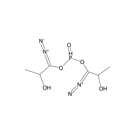 CC(O)C(=[N+]=[N-])O[PH](=O)OC(=[N+]=[N-])C(C)O